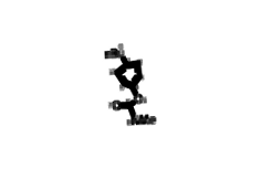 CCCCc1ccc(OC(=O)NC)cc1